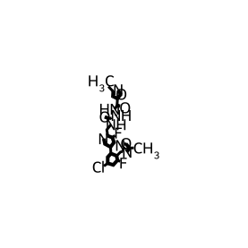 CCc1cc(C(=O)NNC(=O)NCc2ncc(-c3cc(Cl)cc(F)c3-c3noc(C)n3)cc2F)on1